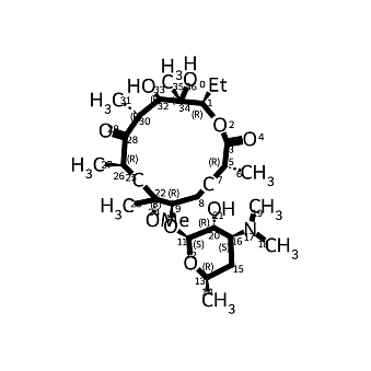 CC[C@H]1OC(=O)[C@H](C)CC[C@@H](O[C@@H]2O[C@H](C)C[C@H](N(C)C)[C@H]2O)[C@](C)(OC)C[C@@H](C)C(=O)[C@H](C)[C@@H](O)[C@]1(C)O